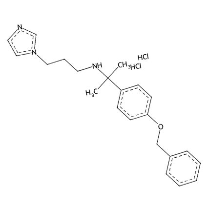 CC(C)(NCCCn1ccnc1)c1ccc(OCc2ccccc2)cc1.Cl.Cl